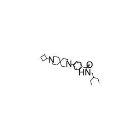 CCC(CC)CNC(=O)c1ccc(N2CCC3(CC2)CCN(C2CCC2)CC3)cc1